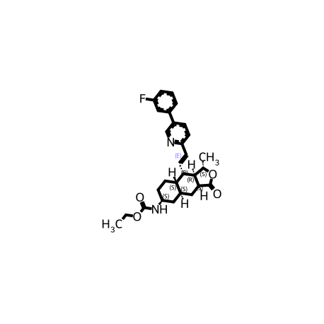 CCOC(=O)N[C@H]1CC[C@H]2[C@H](C1)C[C@@H]1C(=O)O[C@@H](C)[C@@H]1[C@H]2/C=C/c1ccc(-c2cccc(F)c2)cn1